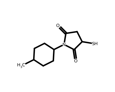 CC1CCC(N2C(=O)CC(S)C2=O)CC1